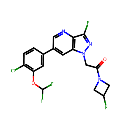 O=C(Cn1nc(F)c2ncc(-c3ccc(Cl)c(OC(F)F)c3)cc21)N1CC(F)C1